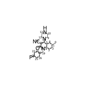 Cc1ccc2c(c1)c(N1CCNCC1)c(C#N)c(=O)n2Cc1ccc(F)cc1